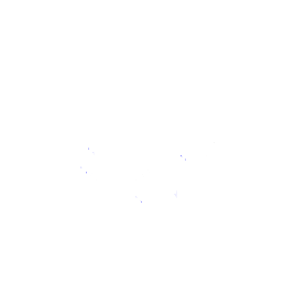 CC(C)(C)C(=O)On1ccc2c(-c3cnn(C(CC=O)C4CCCC4)c3)ncnc21